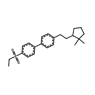 CCS(=O)(=O)c1ccc(-c2ccc(CCN3CCCC3(C)I)cc2)cc1